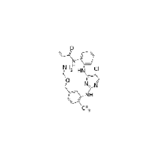 C=CC(=O)Nc1ccccc1Nc1nc(Nc2cc(COCN)ccc2C(F)(F)F)ncc1Cl